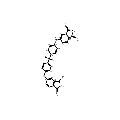 CC(C)(c1ccc(Oc2ccc3c(c2)C(=O)OC3=O)cc1)C1C=CC(OC2=CC3C(=O)OC(=O)C3C=C2)=CC1